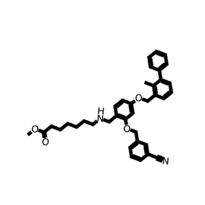 COC(=O)CCCCCCNCc1ccc(OCc2cccc(-c3ccccc3)c2C)cc1OCc1cccc(C#N)c1